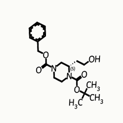 CC(C)(C)OC(=O)N1CCN(C(=O)OCc2ccccc2)C[C@@H]1CCO